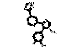 Cn1cnc(-c2cc(-c3nn[nH]n3)ccn2)c1-c1ccc(F)c(O)c1